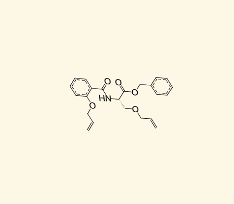 C=CCOC[C@H](NC(=O)c1ccccc1OCC=C)C(=O)OCc1ccccc1